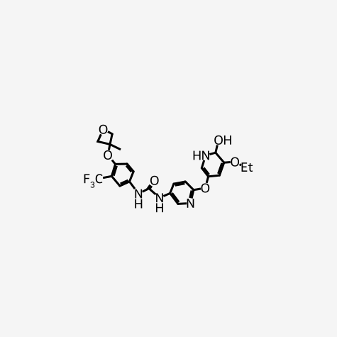 CCOC1=CC(Oc2ccc(NC(=O)Nc3ccc(OC4(C)COC4)c(C(F)(F)F)c3)cn2)=CNC1O